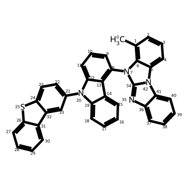 Cc1cccc2c1n(-c1cccc3c1c1ccccc1n3-c1ccc3sc4ccccc4c3c1)c1nc3ccccc3n21